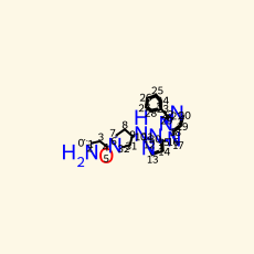 C[C@@H](N)CC(=O)N1CCC(Nc2nccc(N(C)c3ccnc(-c4ccccc4)n3)n2)CC1